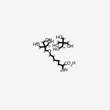 CCCC(CCCCCOCC(CO)(CO)CO)C(=O)O.OCC(CO)(CO)CO